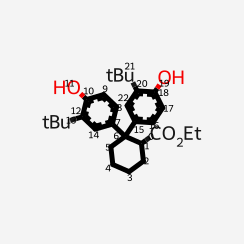 CCOC(=O)C1CCCCC1(c1ccc(O)c(C(C)(C)C)c1)c1ccc(O)c(C(C)(C)C)c1